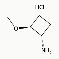 CO[C@H]1CC[C@@H]1N.Cl